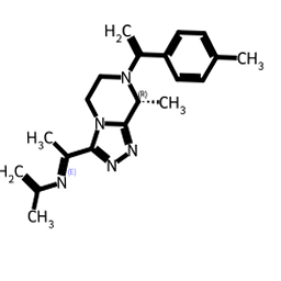 C=C(C)/N=C(\C)c1nnc2n1CCN(C(=C)c1ccc(C)cc1)[C@@H]2C